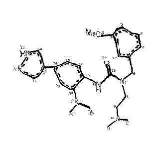 COc1cccc(CN(CCN(C)C)C(=O)Nc2ccc(-c3cn[nH]c3)cc2N(C)C)c1